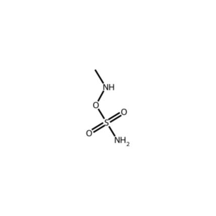 CNOS(N)(=O)=O